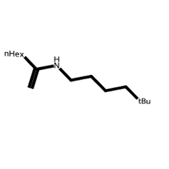 C=C(CCCCCC)NCCCCC(C)(C)C